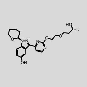 C[C@@H](O)CCOCCOc1nccc(-c2nn(C3CCCCO3)c3ccc(O)cc23)n1